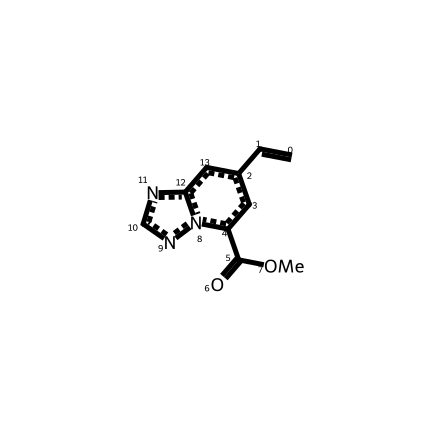 C=Cc1cc(C(=O)OC)n2ncnc2c1